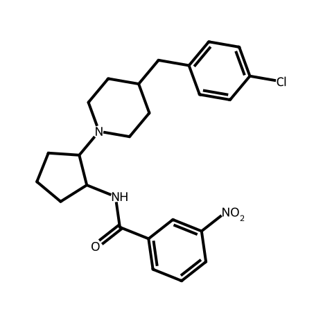 O=C(NC1CCCC1N1CCC(Cc2ccc(Cl)cc2)CC1)c1cccc([N+](=O)[O-])c1